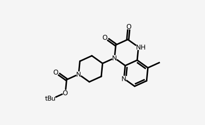 Cc1ccnc2c1[nH]c(=O)c(=O)n2C1CCN(C(=O)OC(C)(C)C)CC1